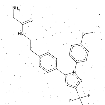 COc1ccc(-n2nc(C(F)(F)F)cc2-c2ccc(CCNC(=O)CN)cc2)cc1